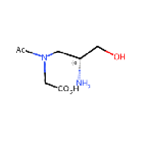 CC(=O)N(CC(=O)O)C[C@@H](N)CO